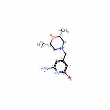 C[C@@H]1CN(Cc2cc(N)nc(Br)c2)C[C@H](C)O1